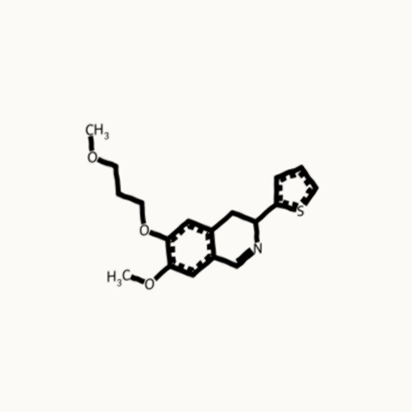 COCCCOc1cc2c(cc1OC)C=NC(c1cccs1)C2